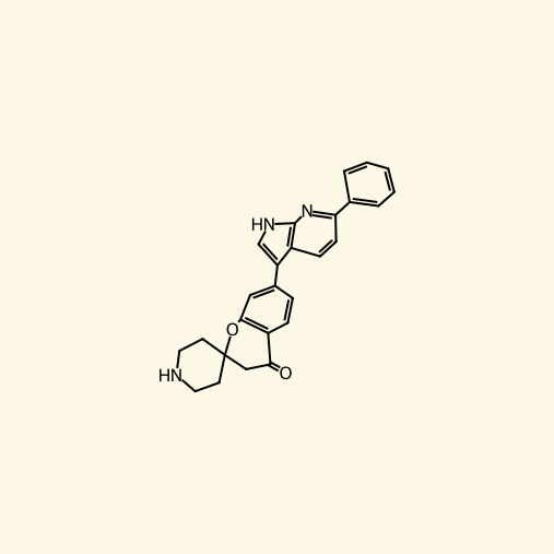 O=C1CC2(CCNCC2)Oc2cc(-c3c[nH]c4nc(-c5ccccc5)ccc34)ccc21